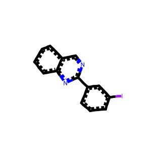 Ic1cccc(-c2ncc3ccccc3n2)c1